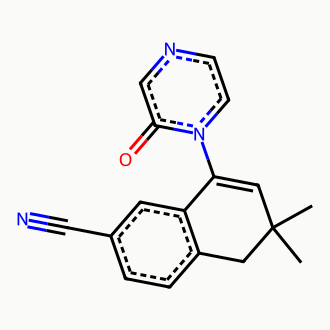 CC1(C)C=C(n2ccncc2=O)c2cc(C#N)ccc2C1